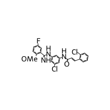 COc1ccc(F)cc1C(=N)Nc1cc(Cl)cc(NC(=O)/C=C/c2ccccc2Cl)c1